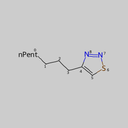 CCCCCCCCc1csnn1